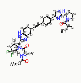 COC(=O)N[C@H](C(=O)N1[C@H](c2nc3cc(C#Cc4ccc(-c5c[nH]c([C@@H]6CCCN6C(=O)[C@@H](C)C(C)C)n5)cc4)ccc3[nH]2)[C@@H]2C[C@H]1C(F)(F)C2)C(C)C